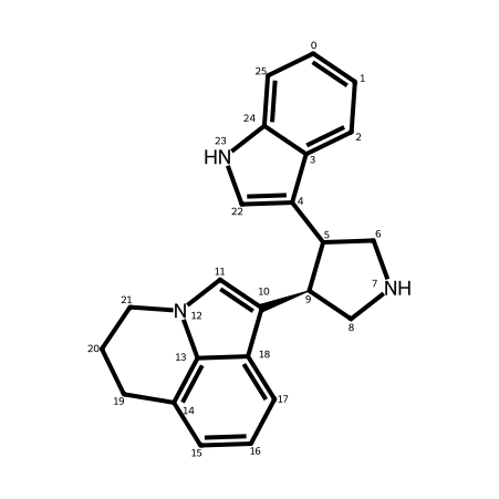 c1ccc2c(C3CNC[C@H]3c3cn4c5c(cccc35)CCC4)c[nH]c2c1